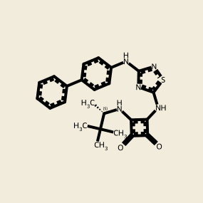 C[C@H](Nc1c(Nc2nc(Nc3ccc(-c4ccccc4)cc3)ns2)c(=O)c1=O)C(C)(C)C